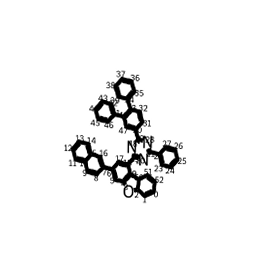 C1=CC2Oc3cc(-c4ccc5ccccc5c4)cc(-c4nc(-c5ccccc5)nc(-c5ccc(-c6ccccc6)c(-c6ccccc6)c5)n4)c3C2C=C1